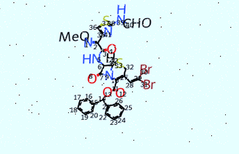 CON=C(C(=O)NC1C(=O)N2C(C(=O)OC(c3ccccc3)c3ccccc3)=C(C=C(Br)Br)CS[C@@H]12)c1csc(NC=O)n1